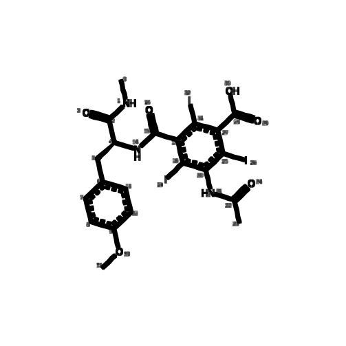 CNC(=O)[C@H](Cc1ccc(OC)cc1)NC(=O)c1c(I)c(NC(C)=O)c(I)c(C(=O)O)c1I